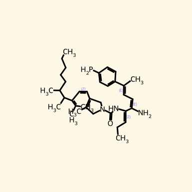 CC/C=C(NC(=O)N1CC(C)=C(/C=C\C(=C(C)C)C(C)C(C)CCCCC)C1)/C(N)=C\C=C(/C)c1ccc(P)cc1